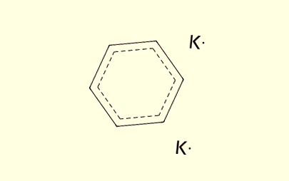 [K].[K].c1ccccc1